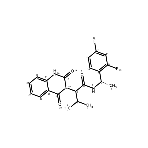 CC(C)C(C(=O)N[C@@H](C)c1ccc(F)cc1F)n1c(=O)[nH]c2ccccc2c1=O